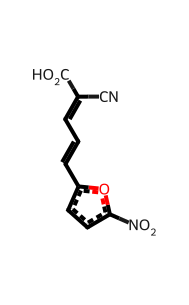 N#C/C(=C\C=C\c1ccc([N+](=O)[O-])o1)C(=O)O